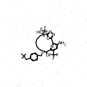 CC(C)(C)Cc1ccc(CN2CCCCC[C@](O)(C(F)(F)F)c3nnc(o3)-c3nc(c(C(F)(F)F)cc3N)C2=O)cc1